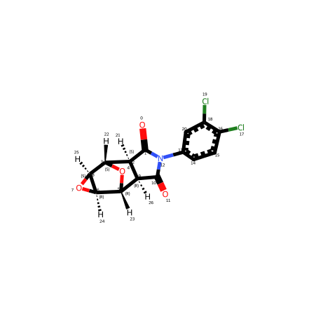 O=C1[C@@H]2[C@@H]3O[C@@H]([C@H]4O[C@H]43)[C@@H]2C(=O)N1c1ccc(Cl)c(Cl)c1